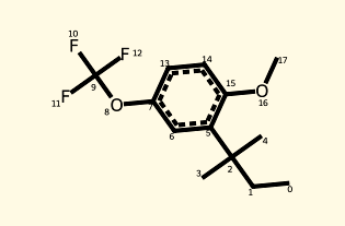 CCC(C)(C)c1cc(OC(F)(F)F)ccc1OC